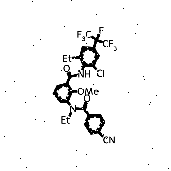 CCc1cc(C(F)(C(F)(F)F)C(F)(F)F)cc(Cl)c1NC(=O)c1cccc(N(CC)C(=O)c2ccc(C#N)cc2)c1OC